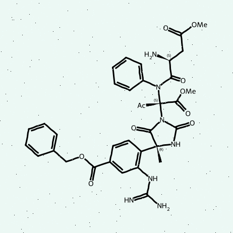 COC(=O)C[C@H](N)C(=O)N(c1ccccc1)[C@](C(C)=O)(C(=O)OC)N1C(=O)N[C@](C)(c2ccc(C(=O)OCc3ccccc3)cc2NC(=N)N)C1=O